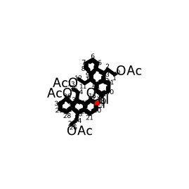 CC(=O)OCCc1c2ccccc2c(CCOC(C)=O)c2c(Oc3c(Cl)ccc4c(CCOC(C)=O)c5ccccc5c(CCOC(C)=O)c34)c(Cl)ccc12